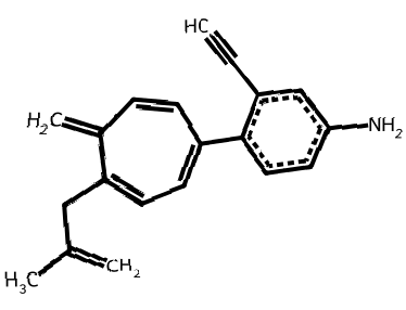 C#Cc1cc(N)ccc1C1=CC=C(CC(=C)C)C(=C)C=C1